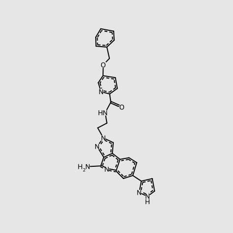 Nc1nc2cc(-c3cc[nH]n3)ccc2c2cn(CCNC(=O)c3ccc(OCc4ccccc4)cn3)nc12